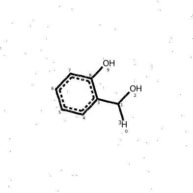 [3H]C(O)c1ccccc1O